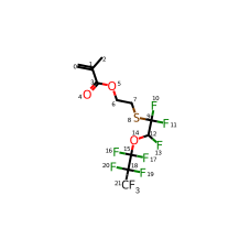 C=C(C)C(=O)OCCSC(F)(F)C(F)OC(F)(F)C(F)(F)C(F)(F)F